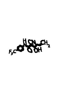 C=CC/C(O)=C(\C#N)C(=O)Nc1ccc(C(F)(F)F)cc1